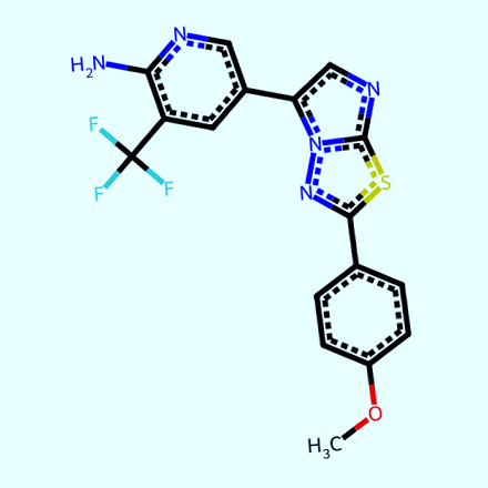 COc1ccc(-c2nn3c(-c4cnc(N)c(C(F)(F)F)c4)cnc3s2)cc1